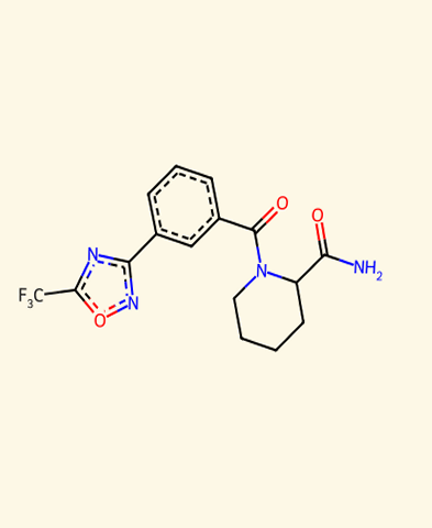 NC(=O)C1CCCCN1C(=O)c1cccc(-c2noc(C(F)(F)F)n2)c1